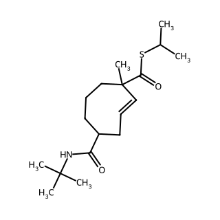 CC(C)SC(=O)C1(C)/C=C/CC(C(=O)NC(C)(C)C)CCC1